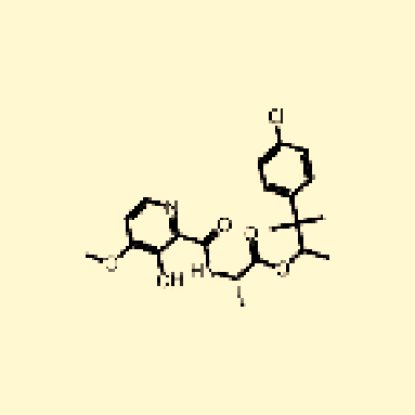 COc1ccnc(C(=O)N[C@@H](C)C(=O)OC(C)C(C)(C)c2ccc(Cl)cc2)c1O